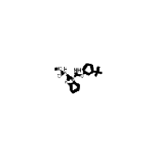 COC(=O)Nc1nc2ccccc2n1C(=N)Oc1cccc(C(C)(C)C)c1